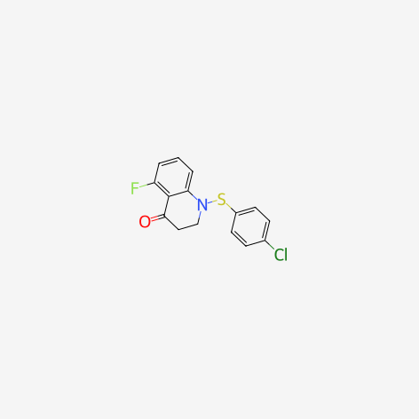 O=C1CCN(Sc2ccc(Cl)cc2)c2cccc(F)c21